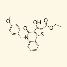 CCOC(=O)c1sc2c(c1O)c(=O)n(Cc1ccc(OC)cc1)c1ccccc21